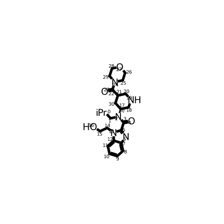 CC(C)CN(C(=O)c1nc2ccccc2n1CCO)[C@@H]1CNCC(C(=O)N2CCOCC2)C1